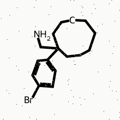 NCC1(c2ccc(Br)cc2)CCCCCCCC1